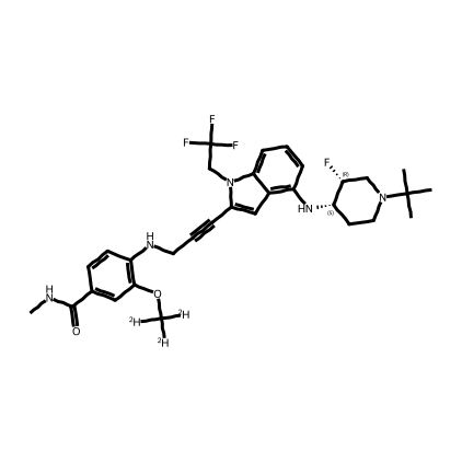 [2H]C([2H])([2H])Oc1cc(C(=O)NC)ccc1NCC#Cc1cc2c(N[C@H]3CCN(C(C)(C)C)C[C@H]3F)cccc2n1CC(F)(F)F